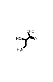 NCC(O)C(=O)C=O